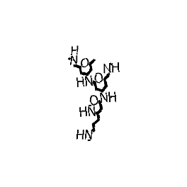 CNCCCC(CC(=O)NC(CCCNC)CC(=O)NC(CCCNC)CC(C)=O)NC